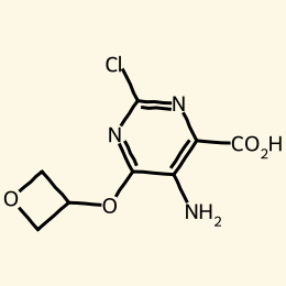 Nc1c(OC2COC2)nc(Cl)nc1C(=O)O